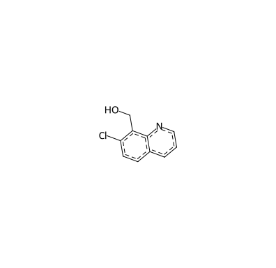 OCc1c(Cl)ccc2cccnc12